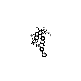 C=C(Cc1ccc([C@H]2CC(C)(C(O)C(F)(F)C(F)(F)F)C(CC)C3CCC4(O)CC5(CCC4=C32)OCC(C)(C)CO5)cc1)C(=C)Nc1ccc(N2CCCCC2)cc1